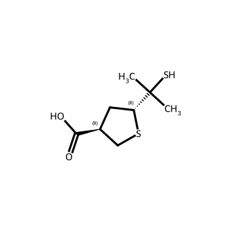 CC(C)(S)[C@H]1C[C@H](C(=O)O)CS1